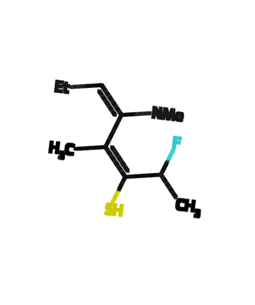 CC/C=C(NC)\C(C)=C(\S)C(C)F